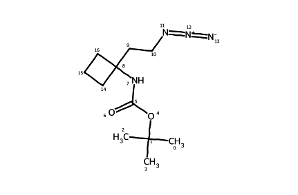 CC(C)(C)OC(=O)NC1(CCN=[N+]=[N-])CCC1